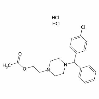 CC(=O)OCCN1CCN(C(c2ccccc2)c2ccc(Cl)cc2)CC1.Cl.Cl